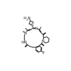 C=C1CCc2ccc(F)cc2C(=C)N2CCCCC2C(=C)/C=C(C)/N=C(N2CC(N)C2)\C=C(/C)N(C)CCN1